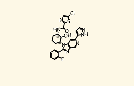 O=C(N[C@H]1CCC[C@@H](n2c(-c3ccccc3F)nc3cnc(-c4ccn[nH]4)cc32)[C@@H]1O)c1ncc(Cl)s1